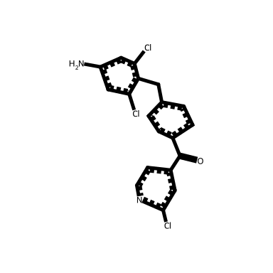 Nc1cc(Cl)c(Cc2ccc(C(=O)c3ccnc(Cl)c3)cc2)c(Cl)c1